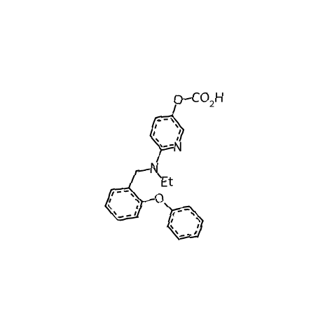 CCN(Cc1ccccc1Oc1ccccc1)c1ccc(OC(=O)O)cn1